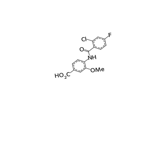 COc1cc(C(=O)O)ccc1NC(=O)c1ccc(F)cc1Cl